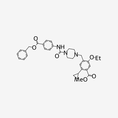 CCOc1cc(C(=O)OC)c(C2CC2)cc1CN1CCN(C(=O)Nc2ccc(C(=O)OCc3ccccc3)cc2)CC1